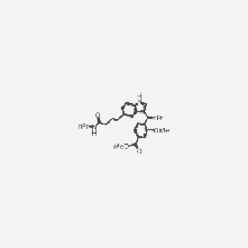 CCCNC(=O)CC=Cc1ccc2[nH]cc(C(CCC)c3ccc(C(=O)OC)cc3OC)c2c1